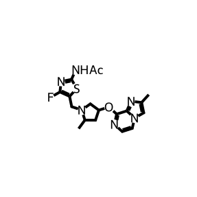 CC(=O)Nc1nc(F)c(CN2CC(Oc3nccn4cc(C)nc34)CC2C)s1